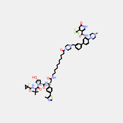 Cc1ncsc1-c1ccc([C@H](CC(=O)NCCCCCCCCCCC(=O)N2CCN(Cc3cccc(-c4ccc(N5CCN(C)CC5)c(NC(=O)c5c[nH]c(=O)cc5C(F)(F)F)c4)c3)CC2)NC(=O)[C@@H]2C[C@@H](O)CN2C(=O)[C@@H](NC(=O)C2(F)CC2)C(C)(C)C)cc1